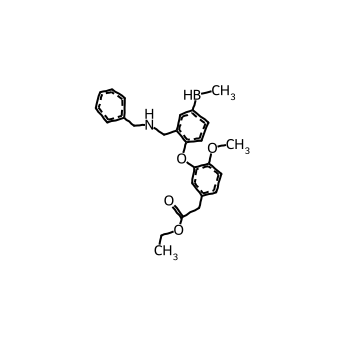 CBc1ccc(Oc2cc(CC(=O)OCC)ccc2OC)c(CNCc2ccccc2)c1